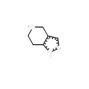 [c]1n[nH]c2c1CNCC2